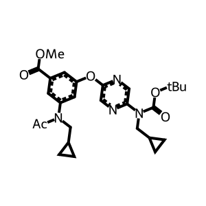 COC(=O)c1cc(Oc2cnc(N(CC3CC3)C(=O)OC(C)(C)C)cn2)cc(N(CC2CC2)C(C)=O)c1